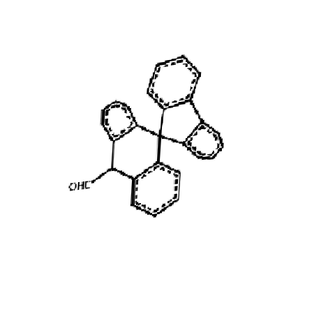 O=CC1c2ccccc2C2(c3ccccc3-c3ccccc32)c2ccccc21